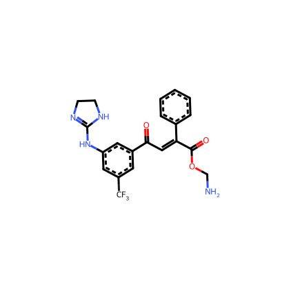 NCOC(=O)C(=CC(=O)c1cc(NC2=NCCN2)cc(C(F)(F)F)c1)c1ccccc1